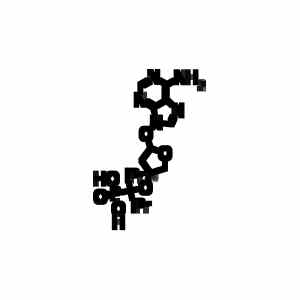 CC(C)C(O[C@@H]1COC(On2cnc3c(N)ncnc32)C1)(C(C)C)P(=O)(O)O